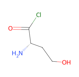 N[C@@H](CCO)C(=O)Cl